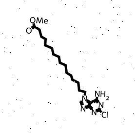 COC(=O)CCCCCCCCCCCCCCCn1cnc2nc(Cl)nc(N)c21